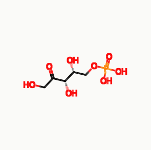 O=C(CO)[C@@H](O)[C@H](O)COP(=O)(O)O